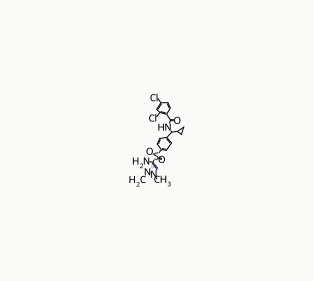 C=NN(C)/C=C(\N)S(=O)(=O)c1ccc(C(NC(=O)c2ccc(Cl)cc2Cl)C2CC2)cc1